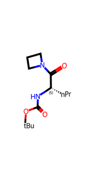 CCC[C@H](NC(=O)OC(C)(C)C)C(=O)N1CCC1